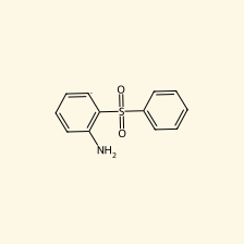 Nc1ccc[c]c1S(=O)(=O)c1ccccc1